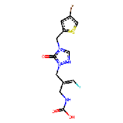 O=C(O)NCC(=CF)Cn1ncn(Cc2cc(Br)cs2)c1=O